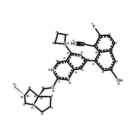 C#Cc1c(F)ccc2cc(O)cc(-c3cc4nc(OC[C@@]56CCCN5C[C@H](F)C6)ncc4c(N4CCC4)n3)c12